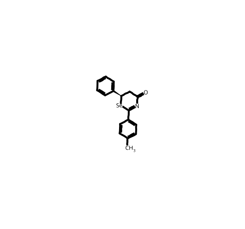 Cc1ccc(C2=NC(=O)C[C@H](c3ccccc3)[Se]2)cc1